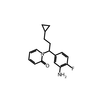 Nc1cc(C(CCC2CC2)n2ccccc2=O)ccc1F